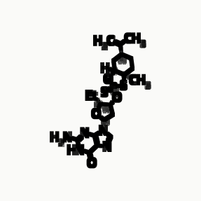 C=C(C)[C@H]1CC[C@@]2(C)S[P@](=S)(O[C@H]3C[C@H](n4cnc5c(=O)[nH]c(N)nc54)O[C@@H]3CC)O[C@@H]2C1